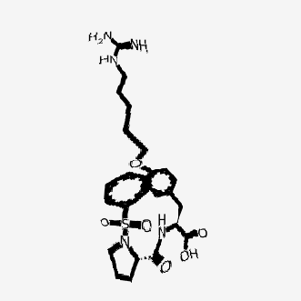 N=C(N)NCCCCCOc1ccc(C[C@H](NC(=O)[C@@H]2CCCN2S(=O)(=O)c2ccccc2)C(=O)O)cc1